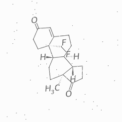 C[C@]12CC[C@H]3[C@@H](CCC4=CC(=O)CC[C@@]43C(F)F)[C@@H]1CCC2=O